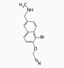 CNCc1ccc2c(Br)c(OCC#N)ccc2c1